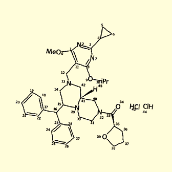 COc1nc(C2CC2)nc(OC(C)C)c1CN1CC(C(c2ccccc2)c2ccccc2)N2CCN(C(=O)[C@H]3CCCO3)C[C@H]2C1.Cl.Cl